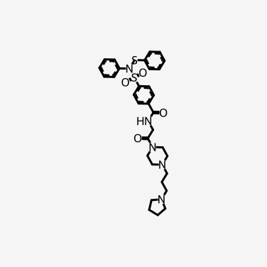 O=C(NCC(=O)N1CCN(CCCN2CCCC2)CC1)c1ccc(S(=O)(=O)N(Sc2ccccc2)c2ccccc2)cc1